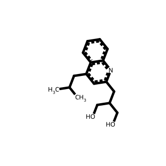 CC(C)Cc1cc(CC(CO)CO)nc2ccccc12